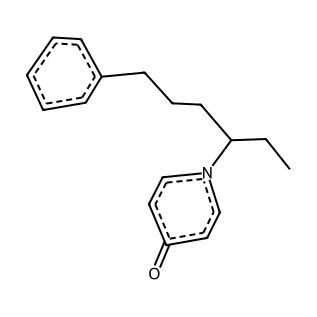 CCC(CCCc1ccccc1)n1ccc(=O)cc1